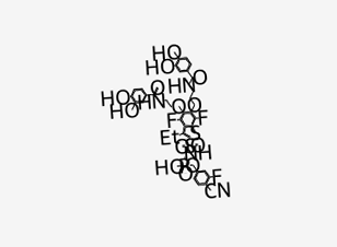 CCc1c(S(=O)(=O)NCP(=O)(O)Oc2ccc(C#N)c(F)c2)sc2c(F)c(OCCNC(=O)c3ccc(O)c(O)c3)c(OCCNC(=O)c3ccc(O)c(O)c3)c(F)c12